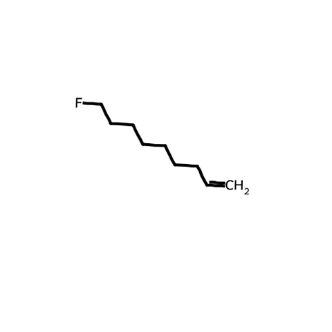 C=CCCCCCCCF